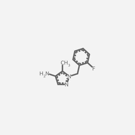 Cc1c(N)cnn1Cc1ccccc1F